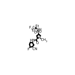 CCC(CC)(NS(=O)(=O)c1cc(C(=O)Nc2ccc(F)c(C#N)c2)n(C)c1)C(F)(F)F